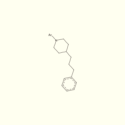 CC(=O)N1CCC(CCCc2ccccc2)CC1